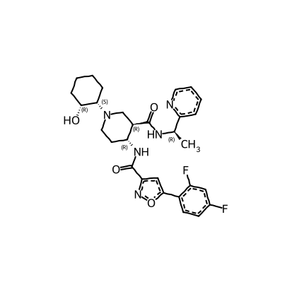 C[C@@H](NC(=O)[C@@H]1CN([C@H]2CCCC[C@H]2O)CC[C@H]1NC(=O)c1cc(-c2ccc(F)cc2F)on1)c1ccccn1